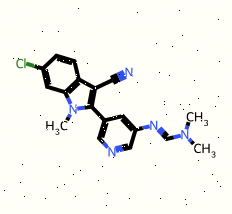 CN(C)/C=N/c1cncc(-c2c(C#N)c3ccc(Cl)cc3n2C)c1